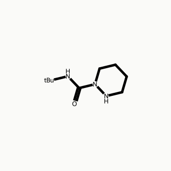 CC(C)(C)NC(=O)N1CCCCN1